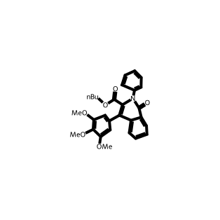 CCCCOC(=O)c1c(-c2cc(OC)c(OC)c(OC)c2)c2ccccc2c(=O)n1-c1ccccc1